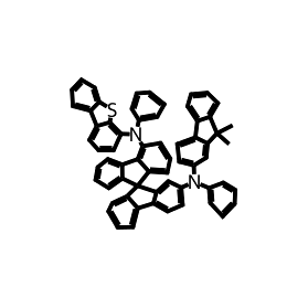 CC1(C)c2ccccc2-c2ccc(N(c3ccccc3)c3ccc4c(c3)C3(c5ccccc5-4)c4ccccc4-c4c(N(c5ccccc5)c5cccc6c5sc5ccccc56)cccc43)cc21